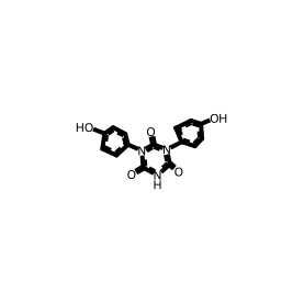 O=c1[nH]c(=O)n(-c2ccc(O)cc2)c(=O)n1-c1ccc(O)cc1